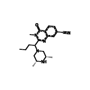 CCCC(c1nc2cc(C#N)ccc2c(=O)n1C)N1C[C@@H](C)N[C@@H](C)C1